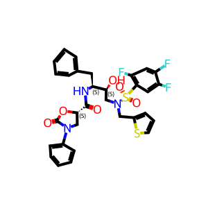 O=C(N[C@@H](Cc1ccccc1)[C@@H](O)CN(Cc1cccs1)S(=O)(=O)c1cc(F)c(F)cc1F)[C@@H]1CN(c2ccccc2)C(=O)O1